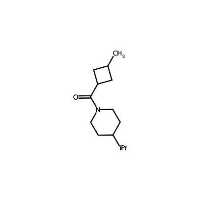 CC1CC(C(=O)N2CCC(C(C)C)CC2)C1